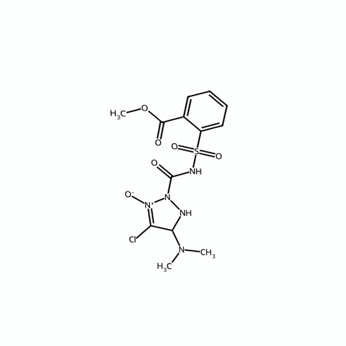 COC(=O)c1ccccc1S(=O)(=O)NC(=O)N1NC(N(C)C)C(Cl)=[N+]1[O-]